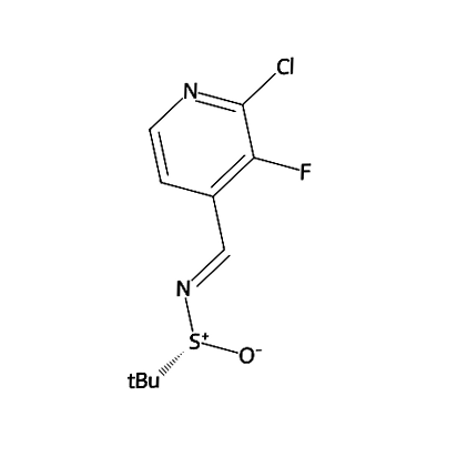 CC(C)(C)[S@@+]([O-])/N=C/c1ccnc(Cl)c1F